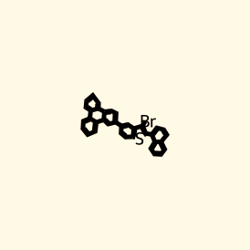 Brc1c(-c2cccc3ccccc23)sc2ccc(-c3ccc4c5ccccc5c5ccccc5c4c3)cc12